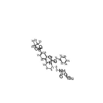 CC(C)(C)OC(=O)NCC[C@@H]1CCC[C@@H](c2ccc(B3OC(C)(C)C(C)(C)O3)cc2)N1C(=O)OCc1ccccc1